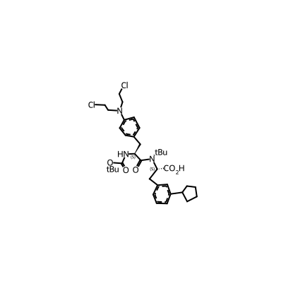 CC(C)(C)OC(=O)N[C@@H](Cc1ccc(N(CCCl)CCCl)cc1)C(=O)N([C@@H](Cc1cccc(C2CCCC2)c1)C(=O)O)C(C)(C)C